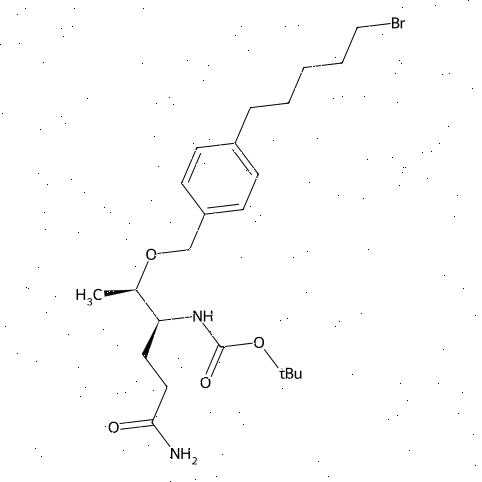 C[C@@H](OCc1ccc(CCCCCBr)cc1)[C@H](CCC(N)=O)NC(=O)OC(C)(C)C